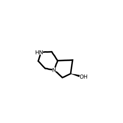 O[C@@H]1CC2CNCCN2C1